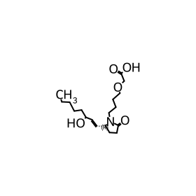 CCCCCC(O)C=C[C@H]1CCC(=O)N1CCCCOCC(=O)O